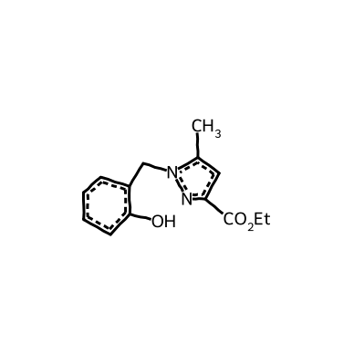 CCOC(=O)c1cc(C)n(Cc2ccccc2O)n1